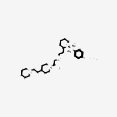 COc1ccc(S(=O)(=O)N2CCCCC2CCOCC(=O)N2CCC(CCN3CCCCC3)CC2)cc1